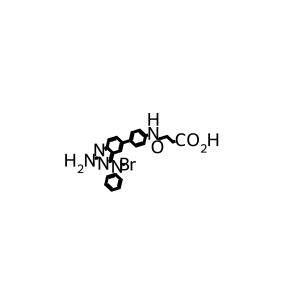 Nc1nc(N(Br)c2ccccc2)c2cc(-c3ccc(NC(=O)CCC(=O)O)cc3)ccc2n1